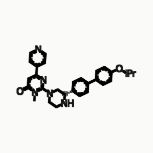 CC(C)Oc1ccc(-c2ccc([C@H]3CN(c4nc(-c5ccncc5)cc(=O)n4C)CCN3)cc2)cc1